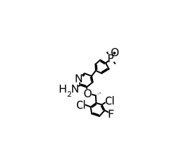 C[C@@H](Oc1cc(-c2ccc(P(C)(C)=O)cc2)cnc1N)c1c(Cl)ccc(F)c1Cl